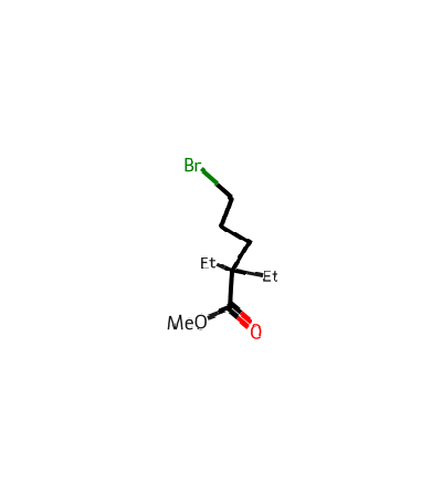 CCC(CC)(CCCBr)C(=O)OC